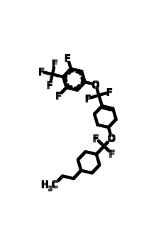 CCCC1CCC(C(F)(F)OC2CC=C(C(F)(F)Oc3cc(F)c(C(F)(F)F)c(F)c3)CC2)CC1